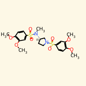 COc1ccc(S(=O)(=O)N2CC[C@H](N(C)S(=O)(=O)c3ccc(OC)c(OC)c3)C2)cc1OC